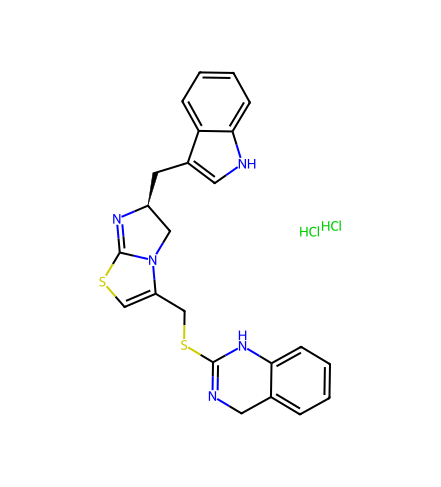 C1=C(CSC2=NCc3ccccc3N2)N2C[C@H](Cc3c[nH]c4ccccc34)N=C2S1.Cl.Cl